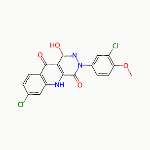 COc1ccc(-n2nc(O)c3c(=O)c4ccc(Cl)cc4[nH]c3c2=O)cc1Cl